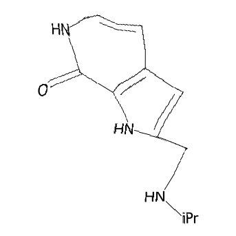 CC(C)NCc1cc2cc[nH]c(=O)c2[nH]1